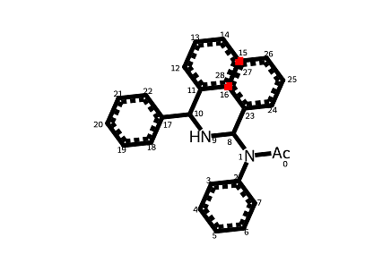 CC(=O)N(c1ccccc1)C(NC(c1ccccc1)c1ccccc1)c1ccccc1